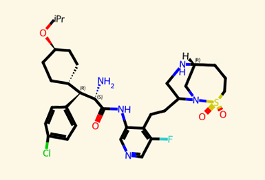 CC(C)O[C@H]1CC[C@H]([C@H](c2ccc(Cl)cc2)[C@H](N)C(=O)Nc2cncc(F)c2CCC2CN[C@@H]3CCCS(=O)(=O)N2C3)CC1